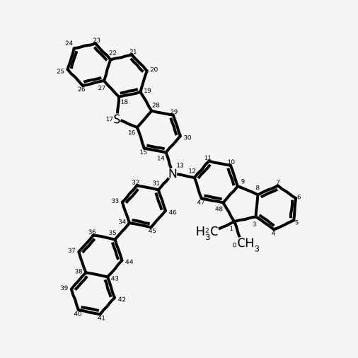 CC1(C)c2ccccc2-c2ccc(N(C3=CC4Sc5c(ccc6ccccc56)C4C=C3)c3ccc(-c4ccc5ccccc5c4)cc3)cc21